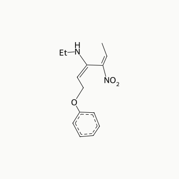 C/C=C(\C(=C/COc1ccccc1)NCC)[N+](=O)[O-]